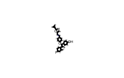 Cc1cc(F)ccc1-c1sc2cc(O)ccc2c1Oc1ccc(/C=C/c2cnc(C3CC3)o2)cc1